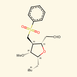 CC[C@@H](C)C[C@H]1O[C@@H](CC=O)[C@H](CS(=O)(=O)c2ccccc2)[C@H]1OC